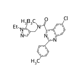 CCn1ncc(CN(C)C(=O)c2nc(-c3ccc(C)cc3)nc3ccc(Cl)cc23)c1C